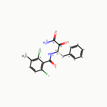 Cc1ccc(F)c(C(=O)N[C@@H](Cc2ccccc2)C(=O)C(N)=O)c1Cl